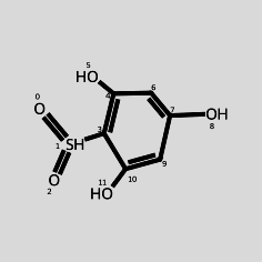 O=[SH](=O)c1c(O)cc(O)cc1O